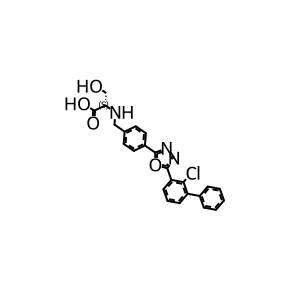 O=C(O)[C@H](CO)NCc1ccc(-c2nnc(-c3cccc(-c4ccccc4)c3Cl)o2)cc1